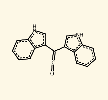 O=C=C(c1c[nH]c2ccccc12)c1c[nH]c2ccccc12